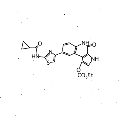 CCOC(=O)Oc1c[nH]c2c(=O)[nH]c3ccc(-c4csc(NC(=O)C5CC5)n4)cc3c12